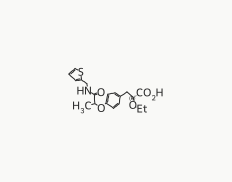 CCO[C@H](Cc1ccc(OC(C)C(=O)NCc2cccs2)cc1)C(=O)O